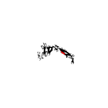 CC1Oc2ccc(CN3CCN(c4ccc(C(=O)NCC5CC5)cc4)CC3)cc2NC1=O